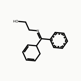 OCC/N=C(/c1ccccc1)C1C=CC=CC1